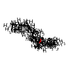 CC[C@H](C)[C@H](N)C(=O)N[C@@H](CS)C(=O)N[C@@H](C)C(=O)N[C@@H](Cc1ccccc1)C(=O)N[C@@H](C)C(=O)N[C@@H](CC(N)=O)C(=O)N[C@H](C(=O)N1CCC[C@H]1C(=O)N[C@@H](CCCCN)C(=O)N[C@@H](Cc1ccc(O)cc1)C(=O)N[C@@H](CO)C(=O)N[C@@H](CCC(N)=O)C(=O)N[C@H](C(=O)N[C@@H](CC(C)C)C(=O)NCC(=O)N[C@@H](CC(C)C)C(=O)NCC(=O)NCC(=O)N[C@@H](CCCNC(=N)N)C(=O)N[C@H](C(=O)O)[C@@H](C)CC)C(C)C)[C@@H](C)O